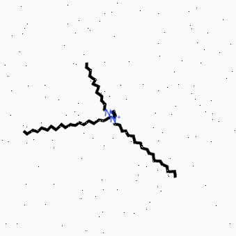 CCCCCCCCCCCCCCCCCCC[n+]1ccn(CCCCCCCCCCCC)c1CCCCCCCCCCCCCCCCCC